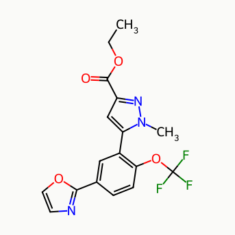 CCOC(=O)c1cc(-c2cc(-c3ncco3)ccc2OC(F)(F)F)n(C)n1